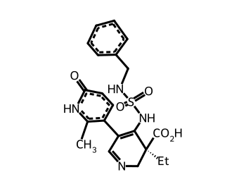 CC[C@]1(C(=O)O)CN=CC(c2ccc(=O)[nH]c2C)=C1NS(=O)(=O)NCc1ccccc1